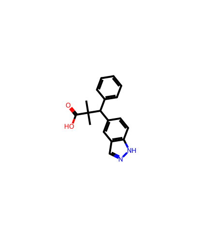 CC(C)(C(=O)O)C(c1ccccc1)c1ccc2[nH]ncc2c1